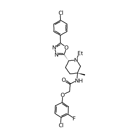 CCN1C[C@](C)(NC(=O)COc2ccc(Cl)c(F)c2)CC[C@@H]1c1nnc(-c2ccc(Cl)cc2)o1